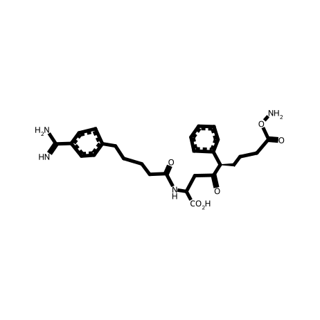 N=C(N)c1ccc(CCCCC(=O)NC(CC(=O)[C@H](CCCC(=O)ON)c2ccccc2)C(=O)O)cc1